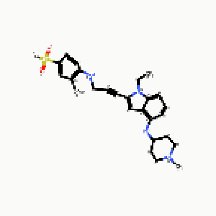 CCS(=O)(=O)c1ccc(NCC#Cc2cc3c(NC4CCN(C)CC4)cccc3n2CC(F)(F)F)c(OC)c1